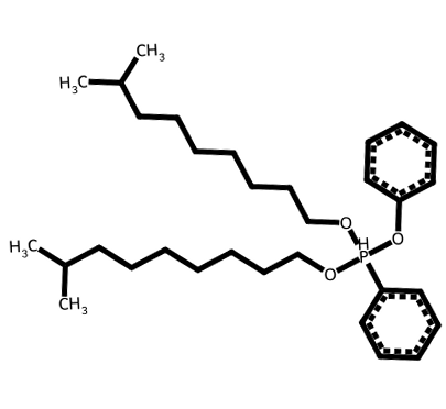 CC(C)CCCCCCCO[PH](OCCCCCCCC(C)C)(Oc1ccccc1)c1ccccc1